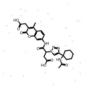 CC(=O)NC1(c2cn(C(CC(=O)O)C(=O)Nc3ccc4c(C)c(CC(=O)O)c(=O)oc4c3)nn2)CCCCC1